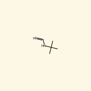 CC(C)(C)N[C]=N